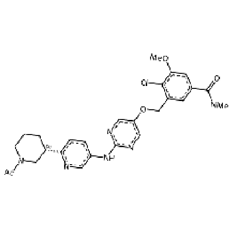 CNC(=O)c1cc(COc2cnc(Nc3ccc([C@H]4CCCN(C(C)=O)C4)nc3)nc2)c(Cl)c(OC)c1